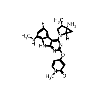 CNc1cc(F)cc2c1[nH]c1nc(Oc3ccn(C)c(=O)c3)nc(N3C[C@@H](C)[C@@]4(N)C[C@H]34)c12